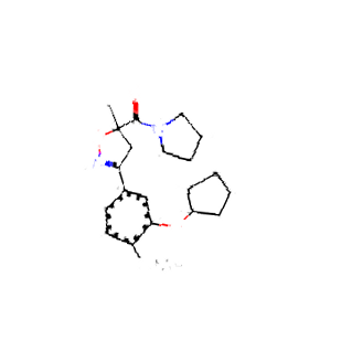 COc1ccc(C2=NOC(C)(C(=O)N3CCCC3)C2)cc1OC1CCCC1